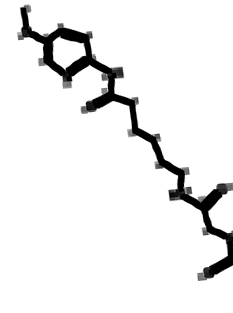 COc1ccc(NC(=O)CCCCCNC(=O)CSC(C)=O)nc1